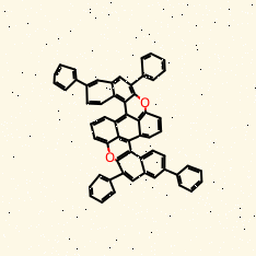 c1ccc(-c2ccc3c(c2)cc(-c2ccccc2)c2oc4cccc5c4c(c4cccc6oc7c(-c8ccccc8)cc8cc(-c9ccccc9)ccc8c7c5c64)c23)cc1